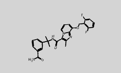 Cc1nc2c(OCc3c(F)cccc3F)cccn2c1C(=O)NC(C)(C)c1cccc(C(N)=O)c1